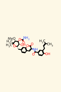 CO[C@@H]1C(OC(N)=O)[C@H](O)[C@H](Cc2ccc3cc(NC(=O)c4ccc(O)c(CC=C(C)C)c4)c(=O)oc3c2)OC1(C)C